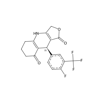 O=C1CCCC2=C1[C@H](c1ccc(F)c(C(F)(F)F)c1)C1=C(COC1=O)N2